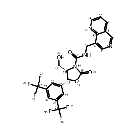 O=C(NCc1cncc2cccnc12)N1C(=O)O[C@H](c2cc(C(F)(F)F)cc(C(F)(F)F)c2)[C@@H]1CO